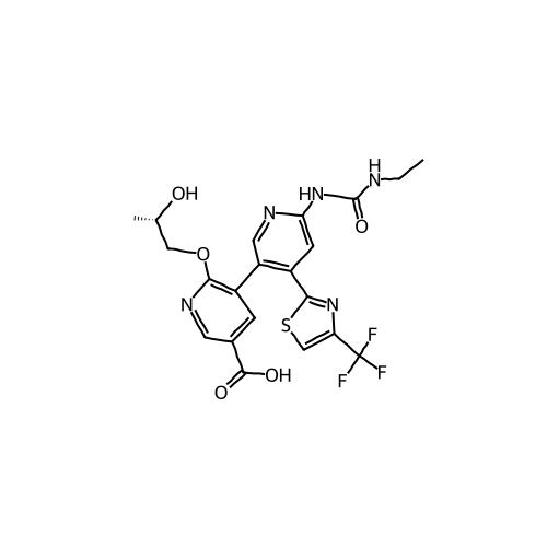 CCNC(=O)Nc1cc(-c2nc(C(F)(F)F)cs2)c(-c2cc(C(=O)O)cnc2OC[C@H](C)O)cn1